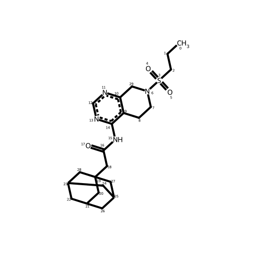 CCCS(=O)(=O)N1CCc2c(ncnc2NC(=O)CC23CC4CC(CC(C4)C2)C3)C1